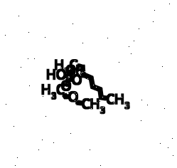 CCCCCC(CC)OP(=O)(O)O.CCOCC